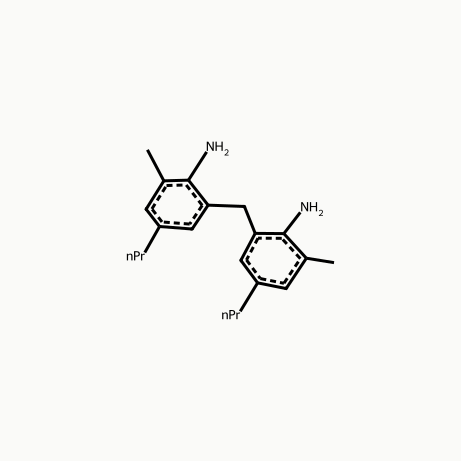 CCCc1cc(C)c(N)c(Cc2cc(CCC)cc(C)c2N)c1